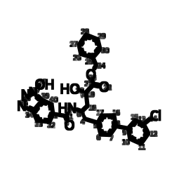 O=C(N[C@H](Cc1ccc(-c2cccc(Cl)c2)cc1)C[C@@H](O)C(=O)OCc1ccccc1)c1ccc2nnn(O)c2c1